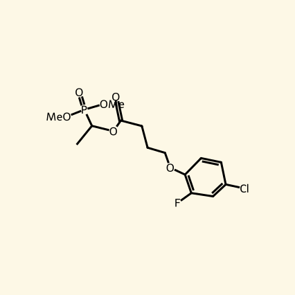 COP(=O)(OC)C(C)OC(=O)CCCOc1ccc(Cl)cc1F